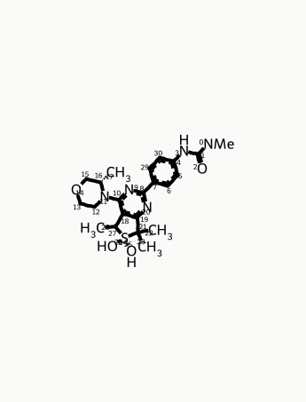 CNC(=O)Nc1ccc(-c2nc(N3CCOC[C@@H]3C)c3c(n2)C(C)(C)S(O)(O)C3C)cc1